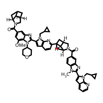 COc1cc(C(=O)N2C[C@H]3CC4C[C@@H]2[C@H]43)cc2nc(-c3cc4ccc(C56C[C@@H]7CN(C(=O)c8ccc9c(c8)nc(-c8cc%10cccnc%10n8CC8CC8)n9C)[C@H](C5)[C@@H]76)nc4n3CC3CC3)n(C3CCOCC3)c12